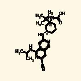 CC(C)Nc1nc(C#N)cc2cnc(N[C@H]3CCC[C@@](NC(=O)O)(C(C)(C)C)C3)cc12